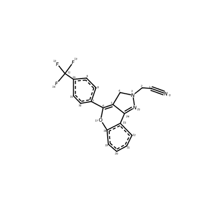 N#CCN1CC2=C(c3ccc(C(F)(F)F)cc3)Oc3ccccc3C2=N1